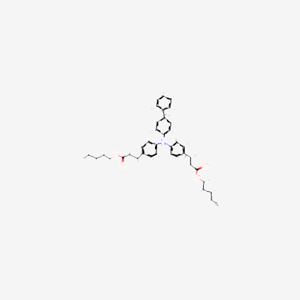 CCCCCOC(=O)CCc1ccc(N(c2ccc(CCC(=O)OCCCCC)cc2)c2ccc(-c3ccccc3)cc2)cc1